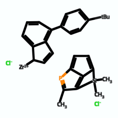 CC(C)(C)c1ccc(-c2cccc3c2C=C[CH]3[Zr+2])cc1.CC1=PC2=CC=C3C2=C1[Si]3(C)C.[Cl-].[Cl-]